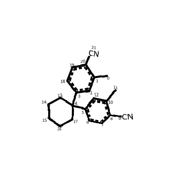 Cc1cc(C2(c3ccc(C#N)c(C)c3)CCCCC2)ccc1C#N